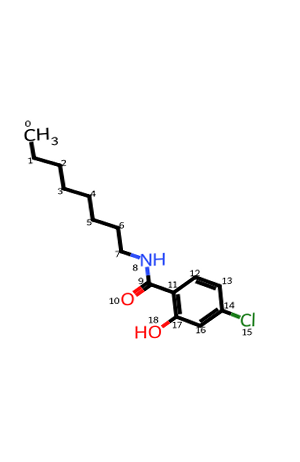 CCCCCCCCNC(=O)c1ccc(Cl)cc1O